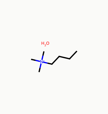 CCCC[N+](C)(C)C.O